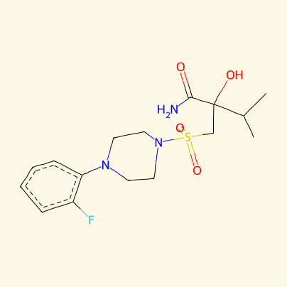 CC(C)C(O)(CS(=O)(=O)N1CCN(c2ccccc2F)CC1)C(N)=O